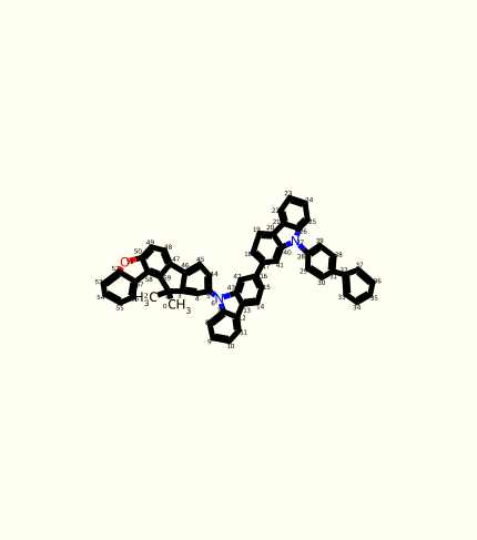 CC1(C)c2cc(-n3c4ccccc4c4ccc(-c5ccc6c7ccccc7n(-c7ccc(-c8ccccc8)cc7)c6c5)cc43)ccc2-c2ccc3oc4ccccc4c3c21